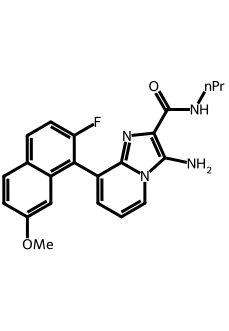 CCCNC(=O)c1nc2c(-c3c(F)ccc4ccc(OC)cc34)cccn2c1N